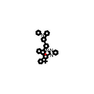 CC1(C)c2ccccc2-c2ccc(-c3nc4ccccc4nc3-n3c4ccc(-c5ccc6c(c5)c5ccccc5n6-c5ccccc5)cc4c4c5ccccc5ccc43)cc21